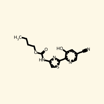 CCCCOC(=O)Nc1csc(-c2ncc(C#N)cc2O)n1